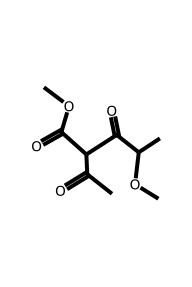 COC(=O)C(C(C)=O)C(=O)C(C)OC